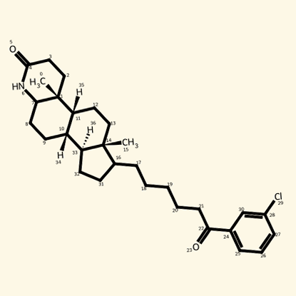 C[C@]12CCC(=O)NC1CC[C@@H]1[C@H]2CC[C@]2(C)C(CCCCCC(=O)c3cccc(Cl)c3)CC[C@@H]12